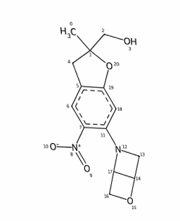 CC1(CO)Cc2cc([N+](=O)[O-])c(N3CC4OCC43)cc2O1